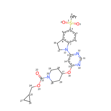 CCCS(=O)(=O)c1ccc2c(c1)CCN2c1cc(OC2CCN(C(=O)OCC3CC3)CC2)ncn1